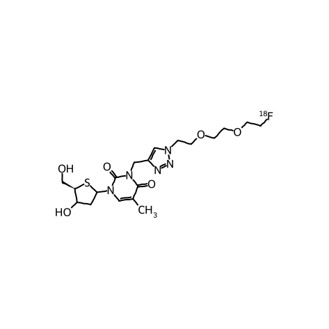 Cc1cn(C2CC(O)[C@@H](CO)S2)c(=O)n(Cc2cn(CCOCCOCC[18F])nn2)c1=O